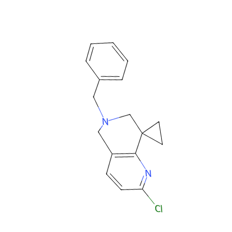 Clc1ccc2c(n1)C1(CC1)CN(Cc1ccccc1)C2